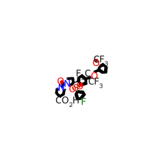 O=C(O)C1CCN(C(=O)N2CC[C@](c3ccc(C(OCc4ccccc4OC(F)(F)F)(C(F)(F)F)C(F)(F)F)cc3)(S(=O)(=O)c3ccc(F)cc3)C2)CC1